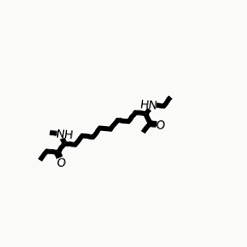 CCNC(CCCCCCCCC(NC)C(=O)CC)C(C)=O